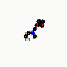 N#Cc1ccc2sc3ccc(-c4nc(-c5ccccc5)nc(-c5ccc(-c6ccc(-c7cccc8c7C7(c9ccccc9-c9ccccc97)c7ccccc7-8)cc6)cc5)n4)cc3c2c1